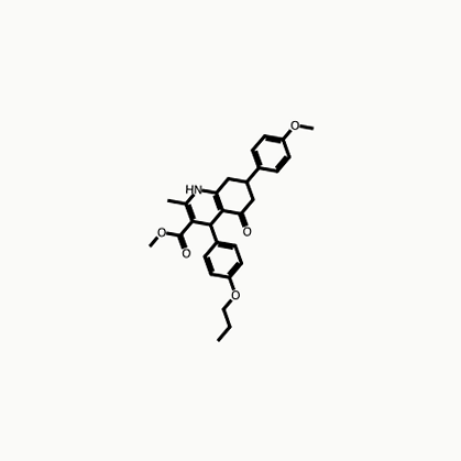 CCCOc1ccc(C2C(C(=O)OC)=C(C)NC3=C2C(=O)CC(c2ccc(OC)cc2)C3)cc1